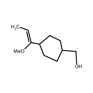 C/C=C(\OC)C1CCC(CO)CC1